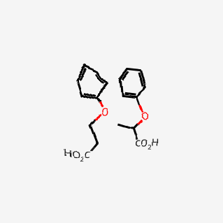 CC(Oc1ccccc1)C(=O)O.O=C(O)CCOc1ccccc1